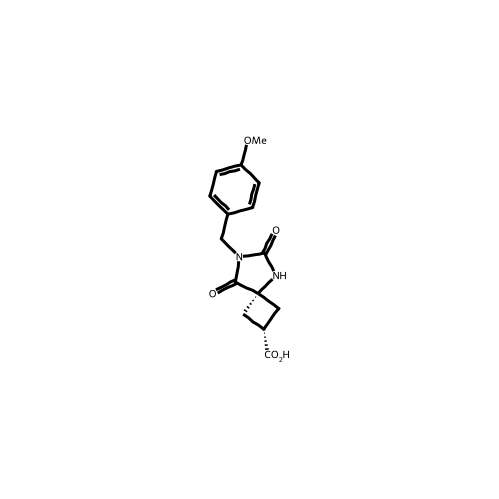 COc1ccc(CN2C(=O)N[C@]3(C[C@@H](C(=O)O)C3)C2=O)cc1